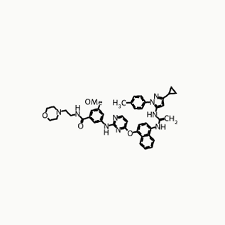 C=C(Nc1ccc(Oc2ccnc(Nc3cc(OC)cc(C(=O)NCCN4CCOCC4)c3)n2)c2ccccc12)Nc1cc(C2CC2)nn1-c1ccc(C)cc1